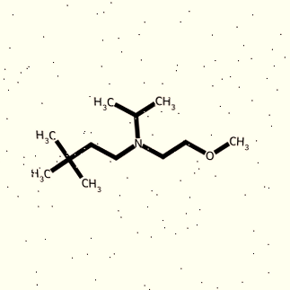 COCCN(CCC(C)(C)C)C(C)C